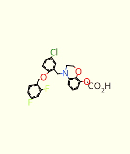 O=C(O)Oc1cccc2c1OCCN2Cc1cc(Cl)ccc1OCc1ccc(F)cc1F